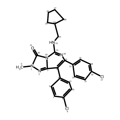 Cn1nc2c(-c3ccc(Cl)cc3)c(-c3ccc(Cl)cc3)nc(NCC3CCCC3)n2c1=O